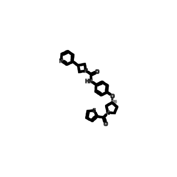 O=C(Nc1ccc(O[C@@H]2CCN(C(=O)c3cccs3)C2)cc1)N1CC(c2cccnc2)C1